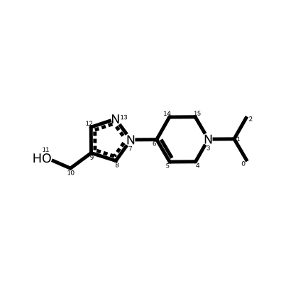 CC(C)N1CC=C(n2cc(CO)cn2)CC1